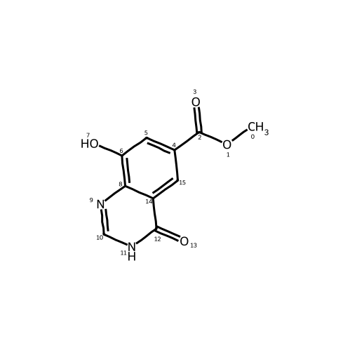 COC(=O)c1cc(O)c2nc[nH]c(=O)c2c1